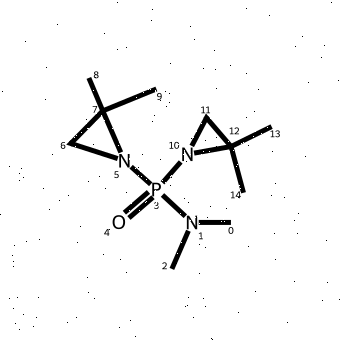 CN(C)P(=O)(N1CC1(C)C)N1CC1(C)C